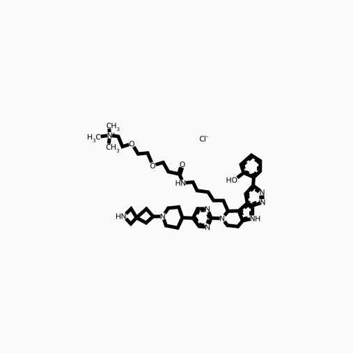 C[N+](C)(C)CCOCCOCCC(=O)NCCCCCC1c2c([nH]c3nnc(-c4ccccc4O)cc23)CCN1c1ncc(C2CCN(C3CC4(CNC4)C3)CC2)cn1.[Cl-]